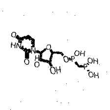 O=c1ccn(C2OC(COP(O)CP(O)O)C(O)C2O)c(=O)[nH]1